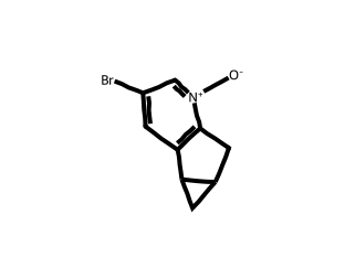 [O-][n+]1cc(Br)cc2c1CC1CC21